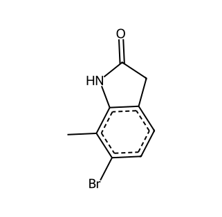 Cc1c(Br)ccc2c1NC(=O)C2